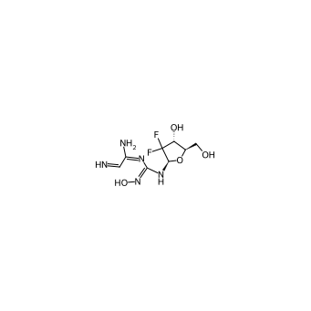 N=C/C(N)=N\C(=N/O)N[C@@H]1O[C@H](CO)[C@@H](O)C1(F)F